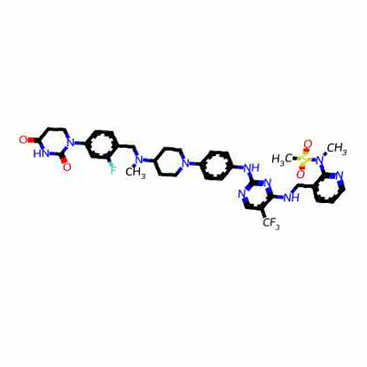 CN(Cc1ccc(N2CCC(=O)NC2=O)cc1F)C1CCN(c2ccc(Nc3ncc(C(F)(F)F)c(NCc4cccnc4N(C)S(C)(=O)=O)n3)cc2)CC1